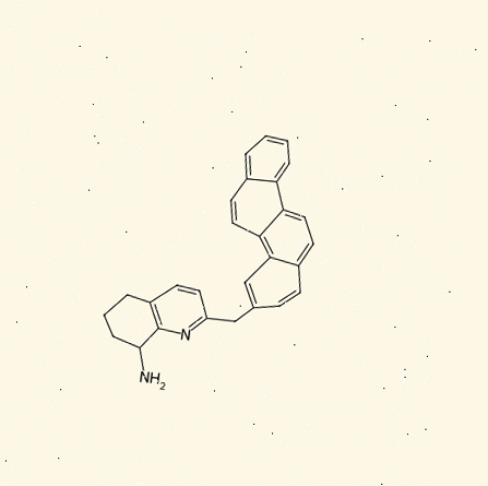 NC1CCCc2ccc(Cc3ccc4ccc5c6ccccc6ccc5c4c3)nc21